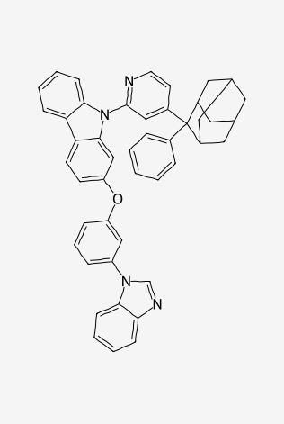 c1ccc(C2(c3ccnc(-n4c5ccccc5c5ccc(Oc6cccc(-n7cnc8ccccc87)c6)cc54)c3)C3CC4CC(C3)CC2C4)cc1